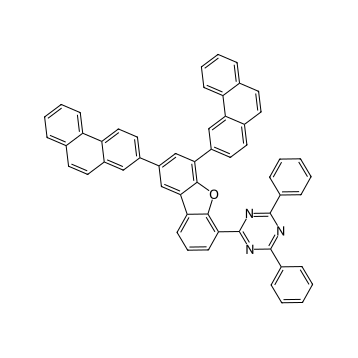 c1ccc(-c2nc(-c3ccccc3)nc(-c3cccc4c3oc3c(-c5ccc6ccc7ccccc7c6c5)cc(-c5ccc6c(ccc7ccccc76)c5)cc34)n2)cc1